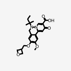 CCC(C)(C)N1Cc2cc(OCC3COC3)c(OC)cc2-c2cc(=O)c(C(=O)O)cn21